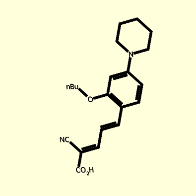 CCCCOc1cc(N2CCCCC2)ccc1/C=C/C=C(\C#N)C(=O)O